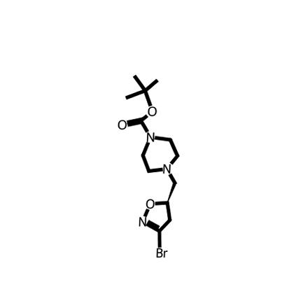 CC(C)(C)OC(=O)N1CCN(C[C@H]2CC(Br)=NO2)CC1